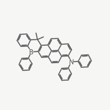 CC1(C)c2ccccc2B(c2ccccc2)c2cc3ccc4c(N(c5ccccc5)c5ccccc5)ccc5ccc(c21)c3c54